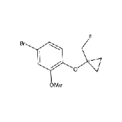 COc1cc(Br)ccc1OC1(CF)CC1